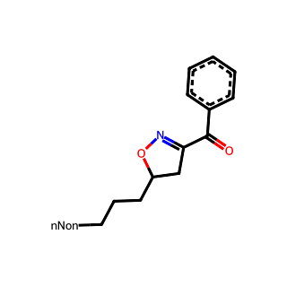 CCCCCCCCCCCCC1CC(C(=O)c2ccccc2)=NO1